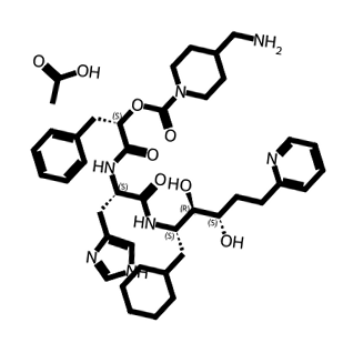 CC(=O)O.NCC1CCN(C(=O)O[C@@H](Cc2ccccc2)C(=O)N[C@@H](Cc2c[nH]cn2)C(=O)N[C@@H](CC2CCCCC2)[C@@H](O)[C@@H](O)CCc2ccccn2)CC1